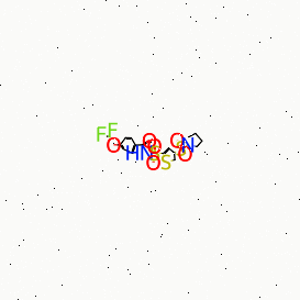 O=C(NS(=O)(=O)C1=CC(S(=O)(=O)N2CCCC2)CS1)c1ccc(OC(F)F)cc1